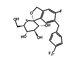 OC[C@H]1S[C@]2(OCc3cc(F)c(Cc4ccc(C(F)(F)F)cc4)cc32)[C@H](O)[C@@H](O)[C@@H]1O